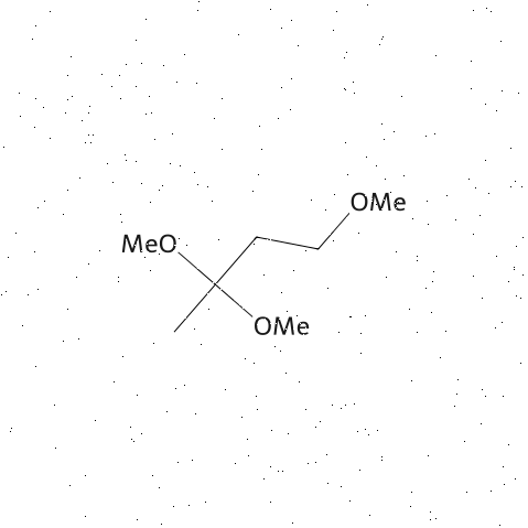 COCCC(C)(OC)OC